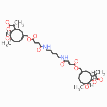 C=C1C(=O)O[C@H]2[C@H]1CC/C(COC(=O)/C=C/C(=O)NCCCCCNC(=O)/C=C/C(=O)OC/C1=C/CC[C@@]3(C)O[C@H]3[C@H]3OC(=O)C(=C)[C@@H]3CC1)=C\CC[C@@]1(C)O[C@@H]21